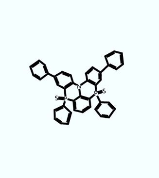 S=P1(c2ccccc2)c2cc(-c3ccccc3)ccc2N2c3ccc(-c4ccccc4)cc3P(=S)(c3ccccc3)c3cccc1c32